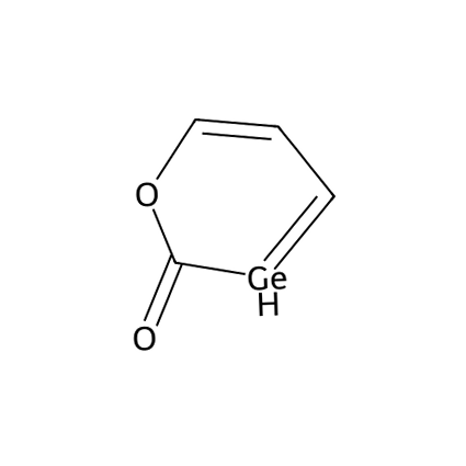 O=[C]1OC=C[CH]=[GeH]1